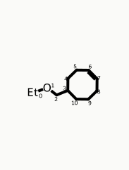 CCOCC1CC/C=C\CCC1